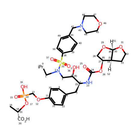 CC(C)CN(C[C@@H](O)[C@H](Cc1ccc(OCP(=O)(O)O[C@@H](C)C(=O)O)cc1)NC(=O)O[C@H]1CO[C@H]2OCC[C@H]21)S(=O)(=O)c1ccc(CN2CCOCC2)cc1